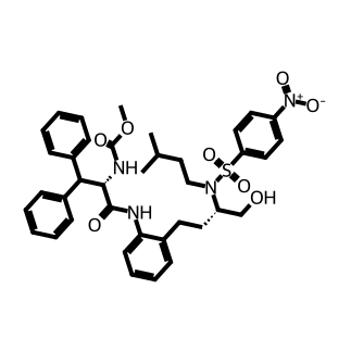 COC(=O)N[C@H](C(=O)Nc1ccccc1CC[C@@H](CO)N(CCC(C)C)S(=O)(=O)c1ccc([N+](=O)[O-])cc1)C(c1ccccc1)c1ccccc1